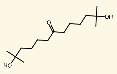 CC(C)(O)CCCCC(=O)CCCCC(C)(C)O